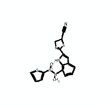 CN(c1cccc2cc(C3=NCC(C#N)S3)[nH]c12)[S+]([O-])c1cccs1